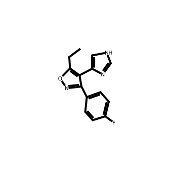 CCc1onc(-c2ccc(F)cc2)c1-c1c[nH]cn1